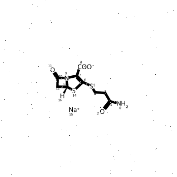 NC(=O)CCSC1=C(C(=O)[O-])N2C(=O)C[C@H]2S1.[Na+]